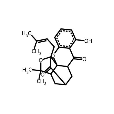 CC(C)=CCC12OC(C)(C)C3CC(CC4C(=O)c5c(O)cccc5OC431)C2=O